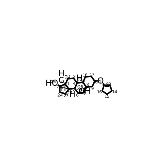 C[C@]12CC[C@@H]3[C@@H](CC=C4CC(OC5=CCCC5)CC[C@@]43CO)[C@@H]1CCC2O